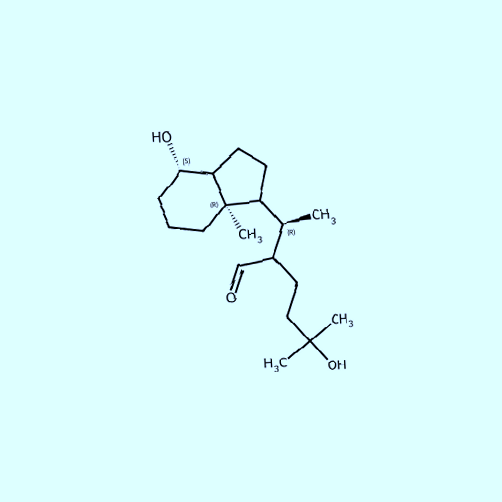 C[C@@H](C(C=O)CCC(C)(C)O)C1CCC2[C@@H](O)CCC[C@]12C